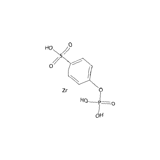 O=P(O)(O)Oc1ccc(S(=O)(=O)O)cc1.[Zr]